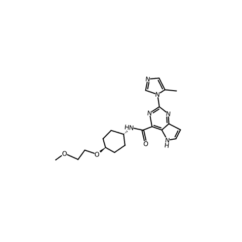 COCCO[C@H]1CC[C@H](NC(=O)c2nc(-n3cncc3C)nc3cc[nH]c23)CC1